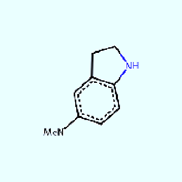 CNc1ccc2c(c1)CCN2